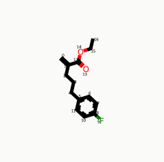 C=C(CCCc1ccc(F)cc1)C(=O)OCC